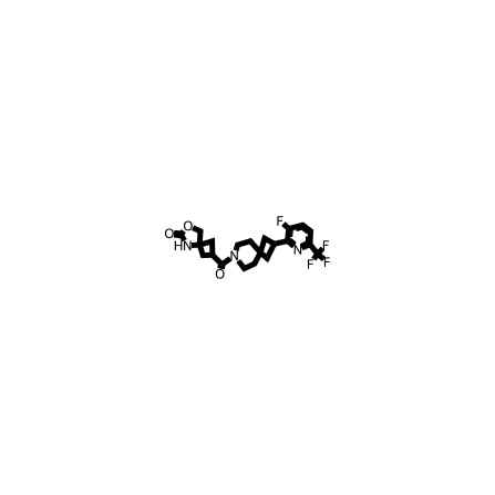 O=C1NC2(CO1)CC(C(=O)N1CCC3(CC1)CC(c1nc(C(F)(F)F)ccc1F)C3)C2